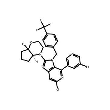 FC(F)(F)c1ccc(Cn2c(N3CCO[C@H]4CCC[C@@H]43)nc3cc(Cl)nc(-c4cncc(Cl)c4)c32)cc1